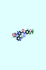 O=C(Nc1ccc(OC(F)(F)F)cc1)c1cnc(N2CCOC2)c(-c2cccnc2F)c1